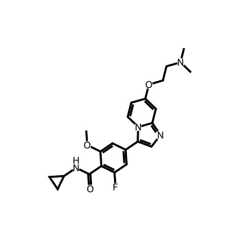 COc1cc(-c2cnc3cc(OCCN(C)C)ccn23)cc(F)c1C(=O)NC1CC1